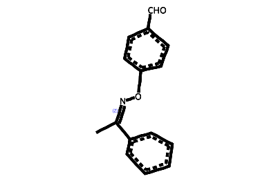 C/C(=N/Oc1ccc(C=O)cc1)c1ccccc1